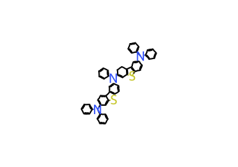 C1=C(N(c2ccccc2)c2ccc3sc4cc(N(c5ccccc5)c5ccccc5)ccc4c3c2)CCc2c1sc1ccc(N(c3ccccc3)c3ccccc3)cc21